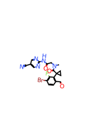 CN(CC(=O)Nc1ncc(C#N)cn1)C(=O)C1(c2c(C=O)ccc(Br)c2F)CC1